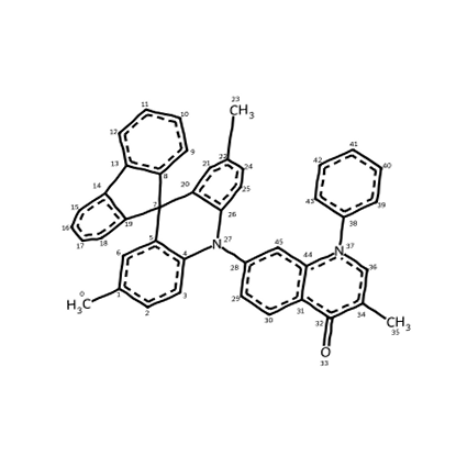 Cc1ccc2c(c1)C1(c3ccccc3-c3ccccc31)c1cc(C)ccc1N2c1ccc2c(=O)c(C)cn(-c3ccccc3)c2c1